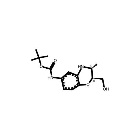 C[C@@H]1Nc2cc(NC(=O)OC(C)(C)C)ccc2O[C@@H]1CO